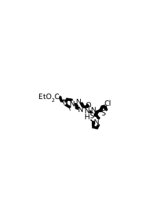 CCOC(=O)CCN1CCN(c2cnc(C(=O)Nc3nc(-c4cc(Cl)cs4)c(CN4CCC[C@H]4C)s3)cn2)[C@H](C)C1